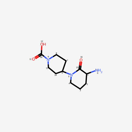 NC1CCCN(C2CCN(C(=O)O)CC2)C1=O